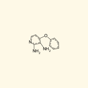 Nc1nccc(Oc2ccccc2)c1N